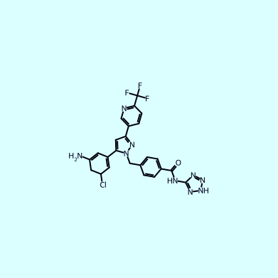 NC1=CC(c2cc(-c3ccc(C(F)(F)F)nc3)nn2Cc2ccc(C(=O)Nc3nn[nH]n3)cc2)=CC(Cl)C1